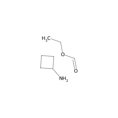 CCOC=O.NC1CCC1